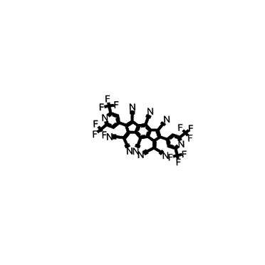 N#CC(C#N)=C1C(c2cc(C(F)(F)F)nc(C(F)(F)F)c2)=C(C#N)c2c(C#N)c3c(c(C#N)c21)C(=C(C#N)C#N)C(c1cc(C(F)(F)F)nc(C(F)(F)F)c1)=C3C#N